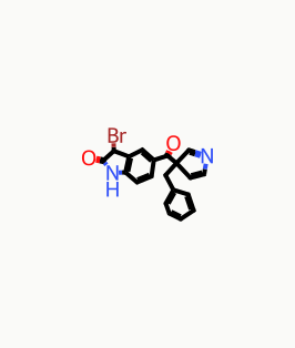 O=C1Nc2ccc(C(=O)C3(Cc4ccccc4)C=CN=C3)cc2C1Br